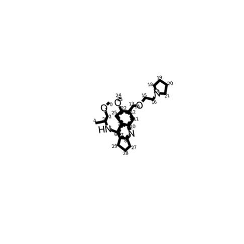 COCC(C)Nc1c2c(nc3cc(COCCN4CCCC4)c(OC)cc13)CCC2